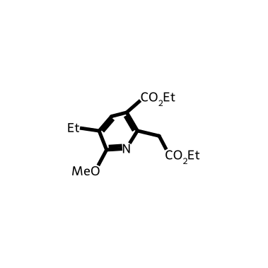 CCOC(=O)Cc1nc(OC)c(CC)cc1C(=O)OCC